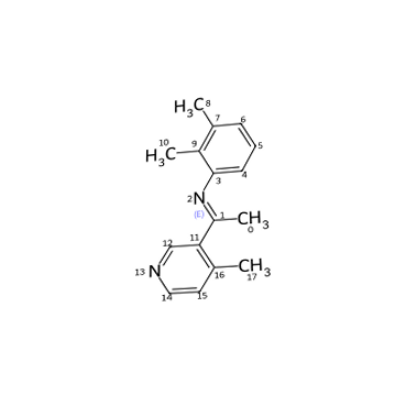 C/C(=N\c1cccc(C)c1C)c1cnccc1C